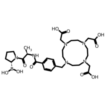 C[C@@H](NC(=O)c1ccc(CN2CCN(CC(=O)O)CCN(CC(=O)O)CCN(CC(=O)O)CC2)cc1)C(=O)N1CCC[C@H]1B(O)O